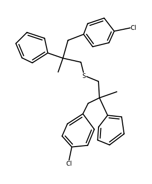 CC(CSCC(C)(Cc1ccc(Cl)cc1)c1ccccc1)(Cc1ccc(Cl)cc1)c1ccccc1